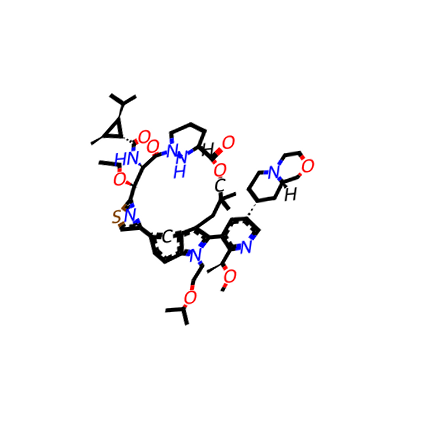 CCO[C@@H]1c2nc(cs2)-c2ccc3c(c2)c(c(-c2cc([C@@H]4CCN5CCOC[C@@H]5C4)cnc2[C@H](C)OC)n3CCOC(C)C)CC(C)(C)COC(=O)[C@@H]2CCCN(N2)C(=O)[C@H]1NC(=O)[C@@H]1[C@@H](C)[C@H]1C(C)C